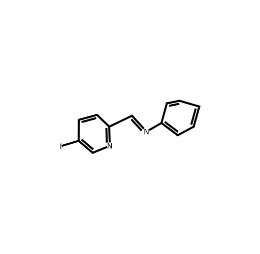 Ic1ccc(C=Nc2ccccc2)nc1